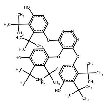 CC(C)(C)c1c(O)ccc(Oc2nnnc(Oc3ccc(O)c(C(C)(C)C)c3C(C)(C)C)c2Oc2ccc(O)c(C(C)(C)C)c2C(C)(C)C)c1C(C)(C)C